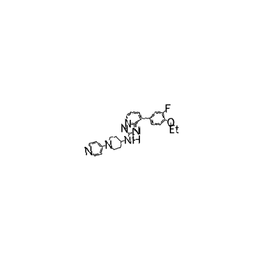 CCOc1ccc(-c2cccn3nc(NC4CCN(c5ccncc5)CC4)nc23)cc1F